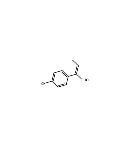 C/C=C(/C=O)c1ccc(Cl)cc1